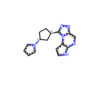 c1ccn([C@H]2CC[C@@H](c3nnc4cnc5[nH]ccc5n34)C2)c1